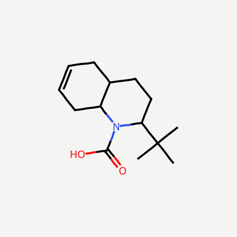 CC(C)(C)C1CCC2CC=CCC2N1C(=O)O